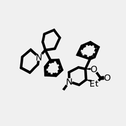 CCC(=O)O[C@]1(c2ccccc2)CCN(C)C[C@@H]1C.c1ccc(C2(N3CCCCC3)CCCCC2)cc1